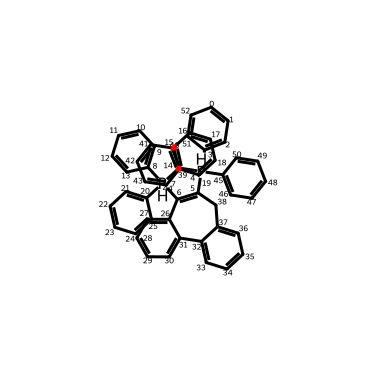 c1ccc([PH](C2=C([PH](c3ccccc3)(c3ccccc3)c3ccccc3)c3ccccc3-c3ccccc3C2)(c2ccccc2)c2ccccc2)cc1